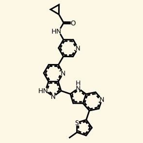 Cc1ccc(-c2cncc3[nH]c(-c4n[nH]c5ccc(-c6cncc(NC(=O)C7CC7)c6)nc45)cc23)s1